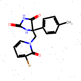 Cc1ccc(C2(Cn3cccc(Br)c3=O)NC(=O)NC2=O)cc1